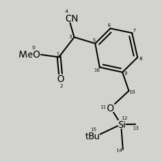 COC(=O)C(C#N)c1cccc(CO[Si](C)(C)C(C)(C)C)c1